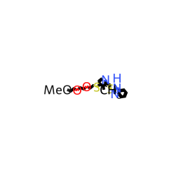 COCCOCCOCCSc1ccnc(CSc2nc3ccccc3[nH]2)c1C